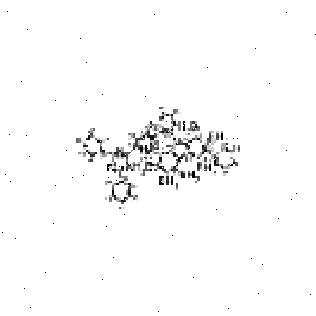 Bc1c(B)c(B)c2c(c1B)c1c(B)c(-c3ccccc3)c(B)c(B)c1n2-c1cccc2oc3cc(-c4nc(-c5ccccc5)nc(-c5ccccc5)n4)ccc3c12